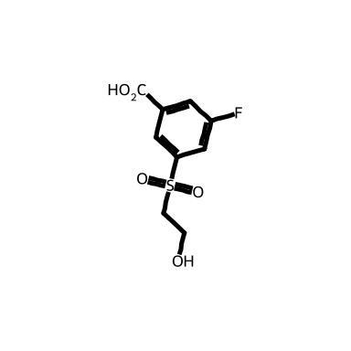 O=C(O)c1cc(F)cc(S(=O)(=O)CCO)c1